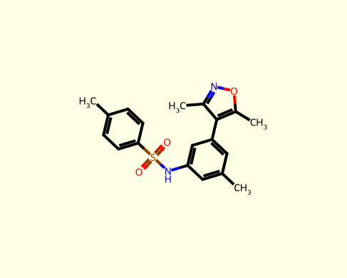 Cc1ccc(S(=O)(=O)Nc2cc(C)cc(-c3c(C)noc3C)c2)cc1